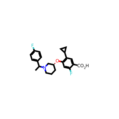 CC(c1ccc(F)cc1)N1CCC[C@@H](Oc2cc(F)c(C(=O)O)cc2C2CC2)C1